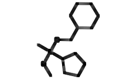 CO[Si](C)(OCC1CCCCC1)C1CCCC1